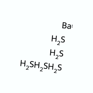 S.S.S.S.S.[Ba]